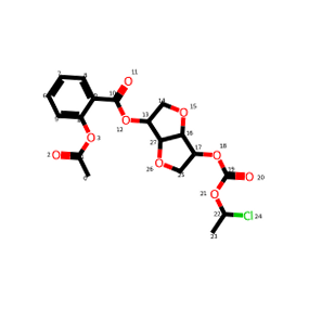 CC(=O)Oc1ccccc1C(=O)OC1COC2C(OC(=O)OC(C)Cl)COC12